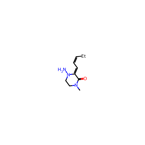 CC/C=C\C=C1\C(=O)N(C)CCN1N